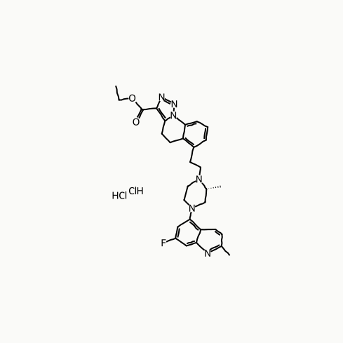 CCOC(=O)c1nnn2c1CCc1c(CCN3CCN(c4cc(F)cc5nc(C)ccc45)C[C@H]3C)cccc1-2.Cl.Cl